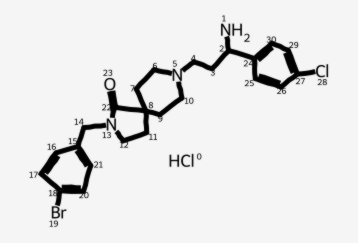 Cl.NC(CCN1CCC2(CC1)CCN(Cc1ccc(Br)cc1)C2=O)c1ccc(Cl)cc1